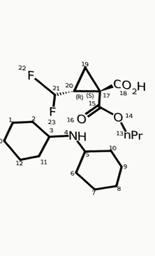 C1CCC(NC2CCCCC2)CC1.CCCOC(=O)[C@@]1(C(=O)O)C[C@H]1C(F)F